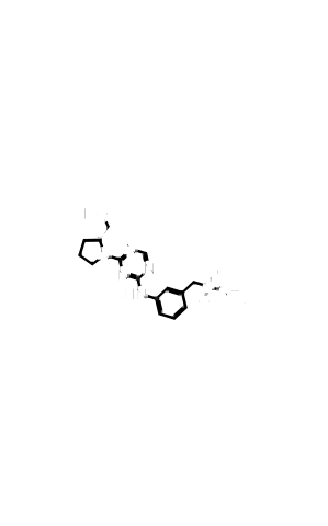 NS(=O)(=O)Cc1cccc(Nc2ncnc(N3CCC[C@H]3CO)n2)c1